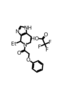 CCC1c2nc[nH]c2CCN1C(=O)COc1ccccc1.O=C(O)C(F)(F)F